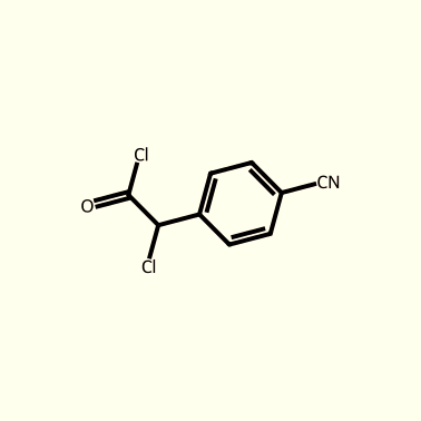 N#Cc1ccc(C(Cl)C(=O)Cl)cc1